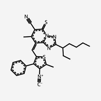 [C-]#[N+]c1c(C)sc(/C=c2/c(C)c(C#N)c(=S)n3nc(C(CC)CCCC)nc23)c1-c1ccccc1